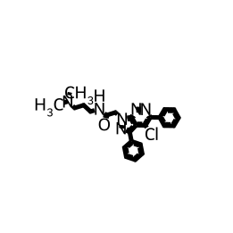 CN(C)CCCNC(=O)Cn1nc(-c2ccccc2)c2c(Cl)c(-c3ccccc3)nnc21